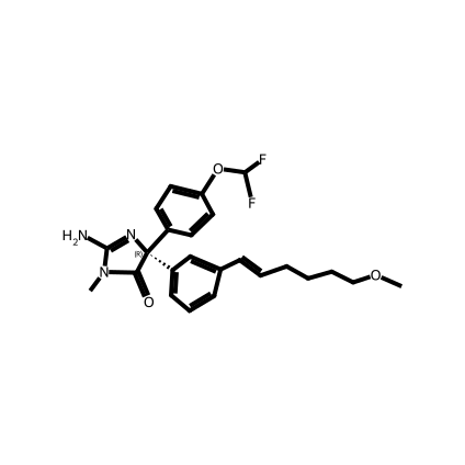 COCCCCC=Cc1cccc([C@@]2(c3ccc(OC(F)F)cc3)N=C(N)N(C)C2=O)c1